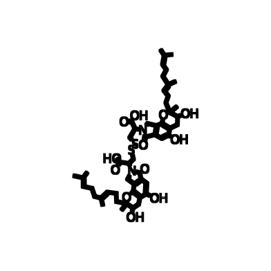 CC(C)=CCC/C(C)=C/CCC1(C)Oc2c(c(O)cc3c2CN(C(CSSCC(C(=O)O)N2Cc4c(cc(O)c5c4OC(C)(CC/C=C(\C)CCC=C(C)C)C(O)C5)C2=O)C(=O)O)C3=O)CC1O